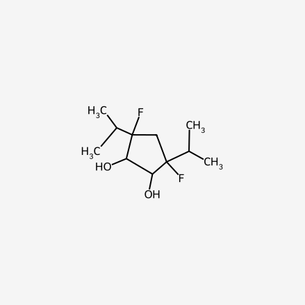 CC(C)C1(F)CC(F)(C(C)C)C(O)C1O